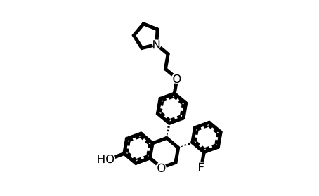 Oc1ccc2c(c1)OC[C@@H](c1ccccc1F)[C@H]2c1ccc(OCCN2CCCC2)cc1